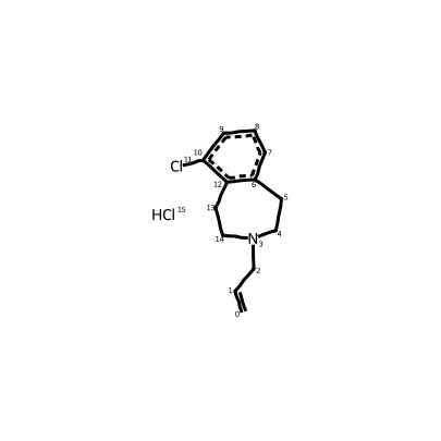 C=CCN1CCc2cccc(Cl)c2CC1.Cl